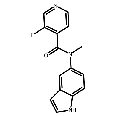 CN(C(=O)c1ccncc1F)c1ccc2[nH]ccc2c1